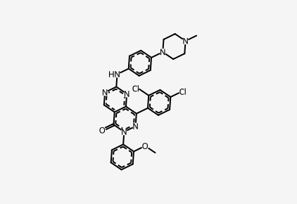 COc1ccccc1-n1nc(-c2ccc(Cl)cc2Cl)c2nc(Nc3ccc(N4CCN(C)CC4)cc3)ncc2c1=O